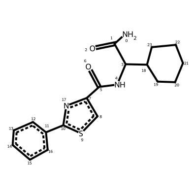 NC(=O)C(NC(=O)c1csc(-c2ccccc2)n1)C1CCCCC1